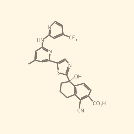 Cc1cc(Nc2cc(C(F)(F)F)ccn2)nc(-c2cnc([C@]3(O)CCCc4c3ccc(C(=O)O)c4C#N)s2)c1